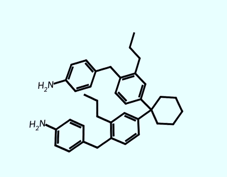 CCCc1cc(C2(c3ccc(Cc4ccc(N)cc4)c(CCC)c3)CCCCC2)ccc1Cc1ccc(N)cc1